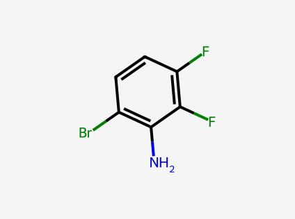 Nc1c(Br)ccc(F)c1F